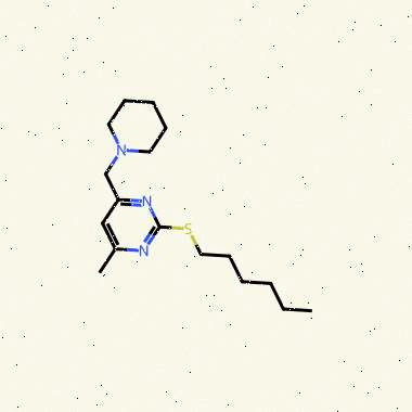 CCCCCCSc1nc(C)cc(CN2CCCCC2)n1